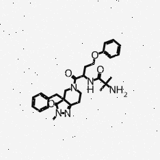 CN1N=C2CCN(C(=O)C(CCOc3ccccc3)NC(=O)C(C)(C)N)CC2(Cc2ccccc2)C1=O